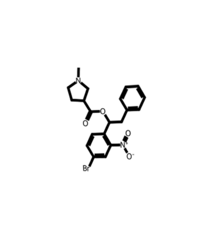 CN1CCC(C(=O)OC(Cc2ccccc2)c2ccc(Br)cc2[N+](=O)[O-])C1